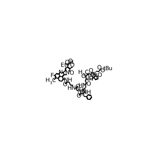 CC[C@@]1(O)C(=O)OCc2c1cc1n(c2=O)Cc2c-1nc1cc(F)c(C)c3c1c2[C@@H](NC(=O)CCCNC(=O)CNC(=O)[C@H](Cc1ccccc1)NC(=O)CNC(=O)CNC(=O)[C@H](C)NC(=O)[C@H](CCC(=O)OC(C)(C)C)N1C(=O)C=CC1=O)CC3